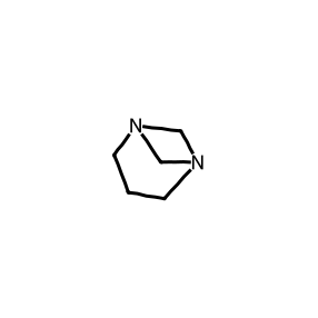 C1CN2CN(C1)C2